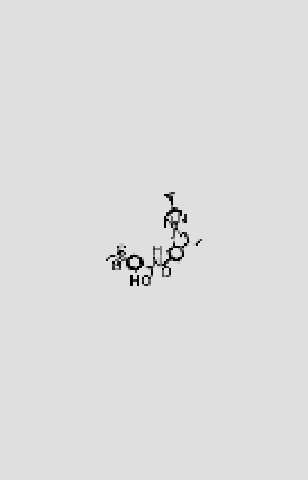 CC[C@H]1CN(c2ncc(C3CC3)cn2)Cc2cc(C(=O)NC(CO)c3ccc(S(=O)(=O)CC)cc3)ccc21